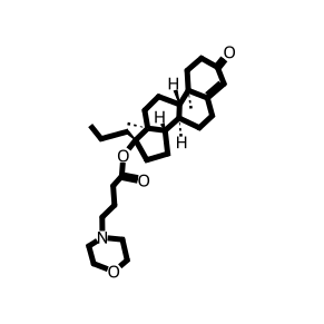 CCC[C@]1(OC(=O)CCCN2CCOCC2)CC[C@H]2[C@@H]3CCC4=CC(=O)CC[C@]4(C)[C@H]3CC[C@@]21C